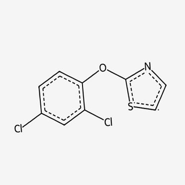 Clc1ccc(Oc2nc[c]s2)c(Cl)c1